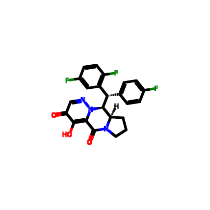 O=C1c2c(O)c(=O)cnn2[C@@H]([C@@H](c2ccc(F)cc2)c2cc(F)ccc2F)[C@H]2CCCN12